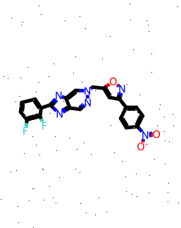 O=[N+]([O-])c1ccc(-c2cc(Cn3cc4nc(-c5cccc(F)c5F)nc-4cn3)on2)cc1